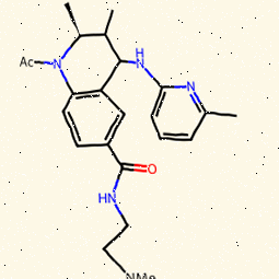 CNCCNC(=O)c1ccc2c(c1)C(Nc1cccc(C)n1)C(C)[C@H](C)N2C(C)=O